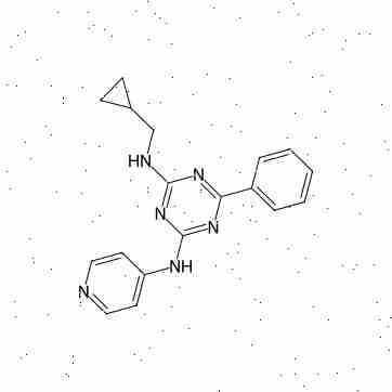 c1ccc(-c2nc(NCC3CC3)nc(Nc3ccncc3)n2)cc1